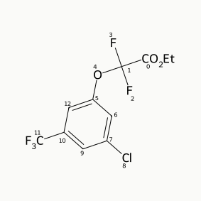 CCOC(=O)C(F)(F)Oc1cc(Cl)cc(C(F)(F)F)c1